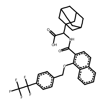 O=C(NC(C(=O)O)C12CC3CC(CC(C3)C1)C2)c1ccc2ccccc2c1OCc1ccc(C(F)(F)C(F)(F)F)cc1